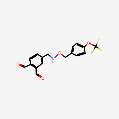 O=Cc1ccc(CNOCc2ccc(OC(F)(F)F)cc2)cc1C=O